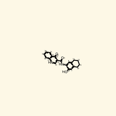 O=C(Nc1cc2c(cc1O)CCCC2)c1c[nH]c2ccccc2c1=O